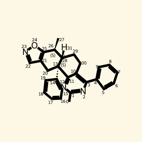 Cc1nc(-c2[c]cccc2)c2c(n1)[C@@]1(c3ccccc3)Cc3cnoc3[C@@H](C)[C@@H]1CC2